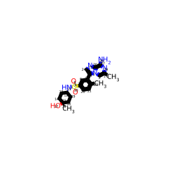 Cc1cn2c(-c3cc(S(=O)(=O)N[C@H]4CC[C@@](C)(O)CC4)ccc3C)cnc2c(N)n1